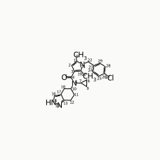 Cc1cc(C(=O)N(C2CC2)C2CCc3n[nH]cc3C2)c(C)n1Cc1ccc(Cl)cc1